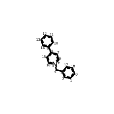 c1ccc(C[n+]2ccc(-c3ccccc3)cc2)cc1